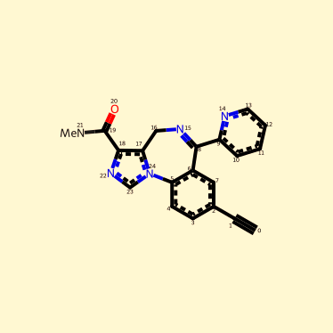 C#Cc1ccc2c(c1)C(c1ccccn1)=NCc1c(C(=O)NC)ncn1-2